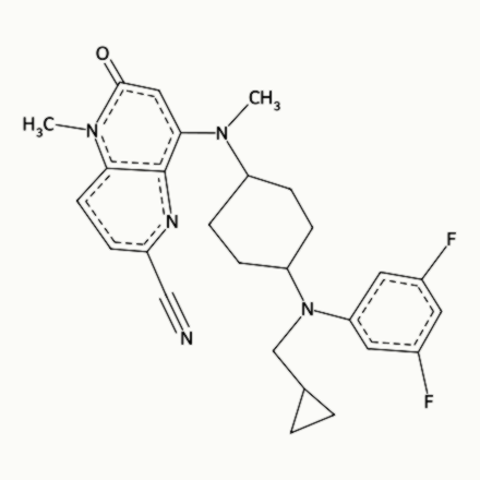 CN(c1cc(=O)n(C)c2ccc(C#N)nc12)C1CCC(N(CC2CC2)c2cc(F)cc(F)c2)CC1